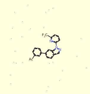 CC(=O)c1cccc(-c2ccc3cnn(-c4cccc(C(F)(F)F)n4)c3c2)c1